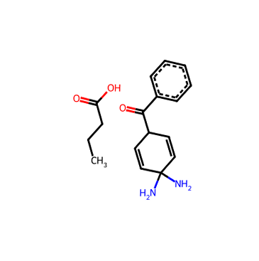 CCCC(=O)O.NC1(N)C=CC(C(=O)c2ccccc2)C=C1